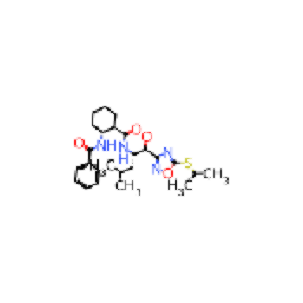 CC(C)C[C@H](NC(=O)[C@@H]1CCCC[C@@H]1NC(=O)c1ccccc1)C(=O)c1noc(SC(C)C)n1